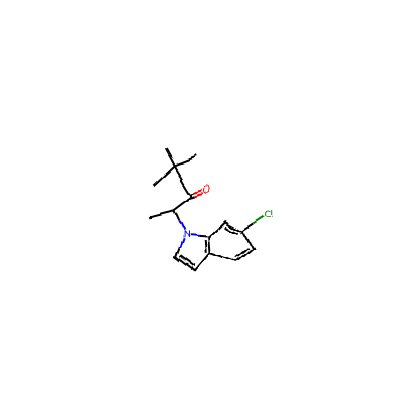 CC(C(=O)C(C)(C)C)n1ccc2ccc(Cl)cc21